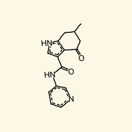 CC1CC(=O)c2c(C(=O)Nc3cccnc3)c[nH]c2C1